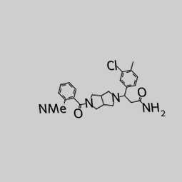 CNc1ccccc1C(=O)N1CC2CN(C(CC(N)=O)c3ccc(C)c(Cl)c3)CC2C1